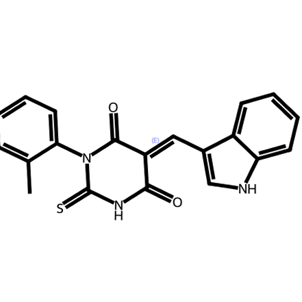 Cc1ccccc1N1C(=O)/C(=C/c2c[nH]c3ccccc23)C(=O)NC1=S